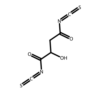 O=C(CC(O)C(=O)N=C=S)N=C=S